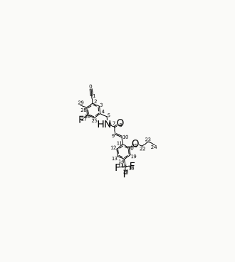 C#Cc1cc(CNC(=O)/C=C/c2ccc(C(F)(F)F)cc2OCCC)cc(F)c1C